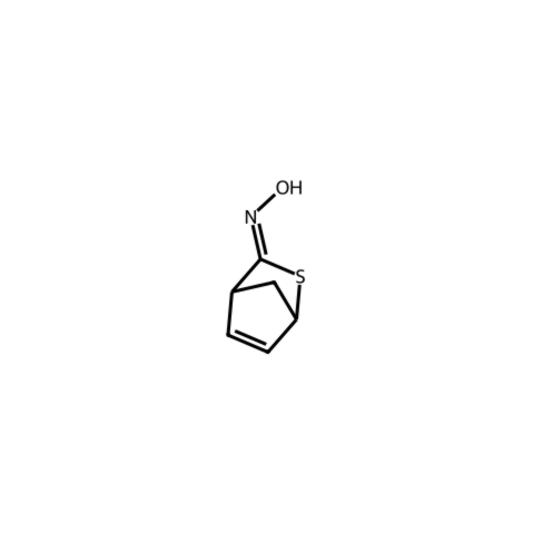 ON=C1SC2C=CC1C2